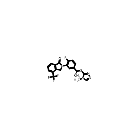 C[C@H](Sc1nncn1C)c1ccc(F)c(N2Cc3c(cccc3C(F)(F)F)C2=O)c1